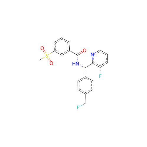 CS(=O)(=O)c1cccc(C(=O)N[C@@H](c2ccc(CF)cc2)c2ncccc2F)c1